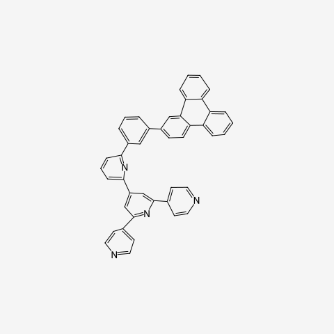 c1cc(-c2ccc3c4ccccc4c4ccccc4c3c2)cc(-c2cccc(-c3cc(-c4ccncc4)nc(-c4ccncc4)c3)n2)c1